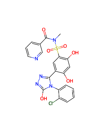 CN(C(=O)c1cccnc1)S(=O)(=O)c1cc(-c2nnc(O)n2-c2ccccc2Cl)c(O)cc1O